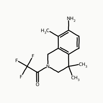 Cc1c(N)ccc2c1CN(C(=O)C(F)(F)F)CC2(C)C